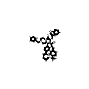 O=C([C@H](Cc1csc2ccccc12)N(Cc1ccc(-c2ccccn2)cc1)C(=O)/C=C/c1ccc(C(F)(F)F)cc1)N1CCN(Cc2ccccc2)CC1